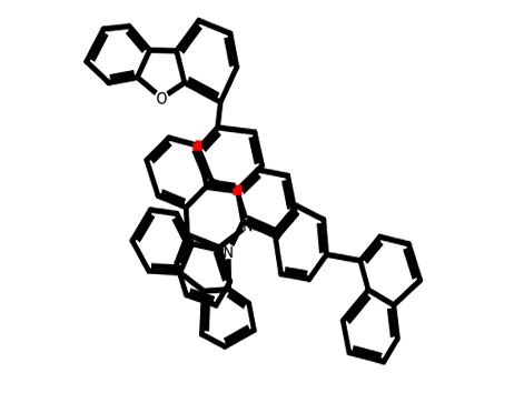 c1ccc(-c2ccccc2-n2c3ccccc3c3ccccc32)c(-c2ccccc2N(c2ccc(-c3cccc4ccccc34)cc2)c2ccc(-c3cccc4c3oc3ccccc34)cc2)c1